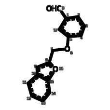 O=Cc1cccc(OCc2cc3ccccc3o2)c1